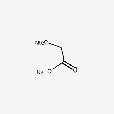 COCC(=O)[O-].[Na+]